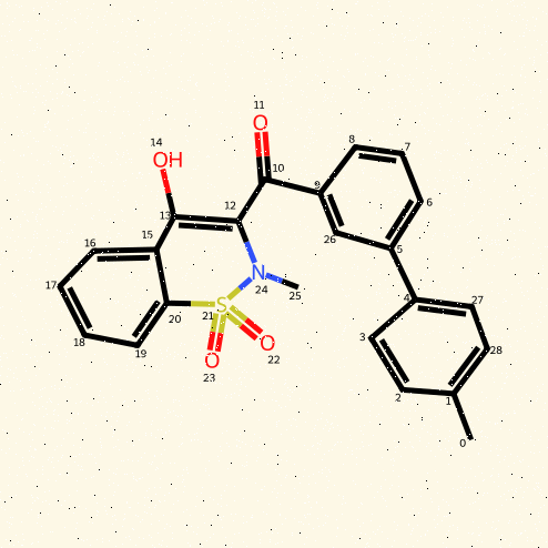 Cc1ccc(-c2cccc(C(=O)C3=C(O)c4ccccc4S(=O)(=O)N3C)c2)cc1